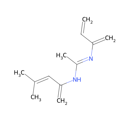 C=CC(=C)/N=C(\C)NC(=C)C=C(C)C